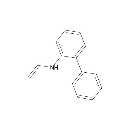 C=CNc1ccccc1-c1ccccc1